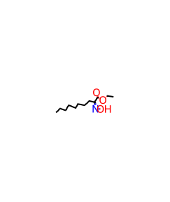 CCCCCCCCC(=NO)C(=O)OCC